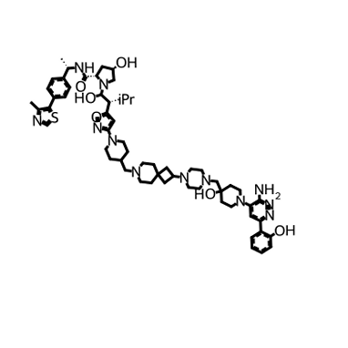 Cc1ncsc1-c1ccc([C@H](C)NC(=O)[C@@H]2C[C@@H](O)CN2C(O)[C@@H](c2cc(N3CCC(CN4CCC5(CC4)CC(N4CCN(CC6(O)CCN(c7cc(-c8ccccc8O)nnc7N)CC6)CC4)C5)CC3)no2)C(C)C)cc1